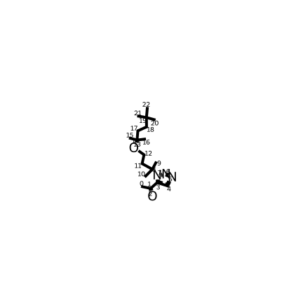 CC(=O)c1cnnn1C(C)(C)CCOC(C)(C)CCC(C)(C)C